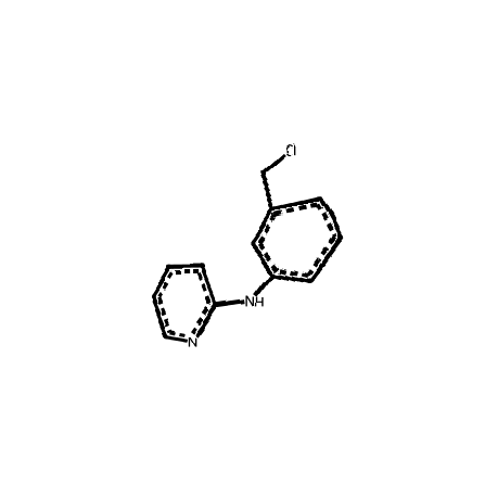 ClCc1cccc(Nc2ccccn2)c1